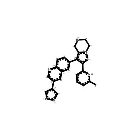 Cc1cccc(-c2nn3c(c2-c2ccc4ncc(-c5cn[nH]c5)cc4c2)CNCC3)n1